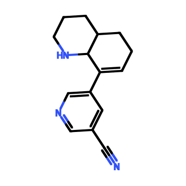 N#Cc1cncc(C2=CCCC3CCCNC23)c1